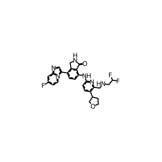 O=C1NCc2c(-c3cnc4cc(F)ccn34)ccc(Nc3ccc(C4CCOC4)c(CNCC(F)F)n3)c21